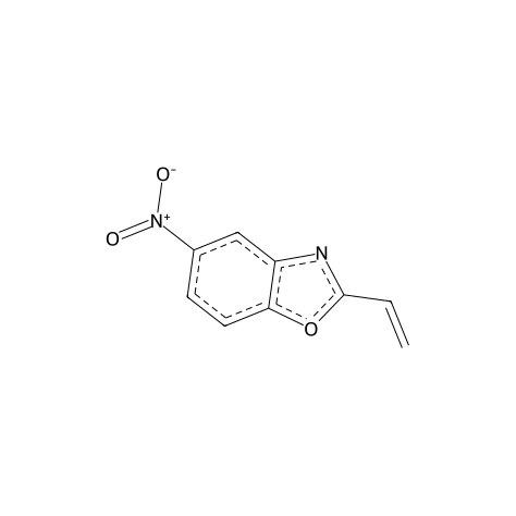 C=Cc1nc2cc([N+](=O)[O-])ccc2o1